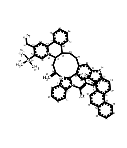 C=C/C(=C(\CC)n1c2[n+](c3ccccc31)C(=C)CC1C(CCc3cc4sc5ccc6c7ccccc7ccc6c5c4cc3-2)c2ccccc2-c2cc(CC(C)C)c([Si](C)(C)C)c[n+]21)C(C)C